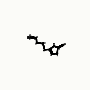 C=CCOCc1coc(=O)o1